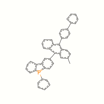 Cc1ccc2c(-c3ccc(-c4ccccc4)cc3)c3ccccc3c(-c3ccc4c(c3)c3ccccc3p4-c3ccccc3)c2c1